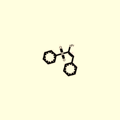 CCC/C(=C/c1ccccc1)S(=O)(=O)c1ccccc1